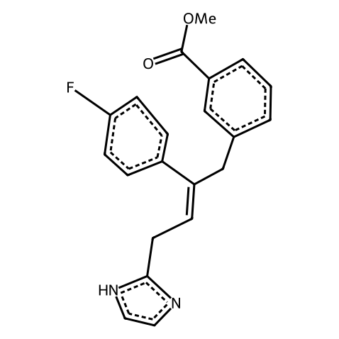 COC(=O)c1cccc(CC(=CCc2ncc[nH]2)c2ccc(F)cc2)c1